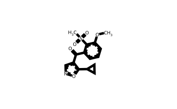 COc1cccc(C(=O)c2cnoc2C2CC2)c1S(C)(=O)=O